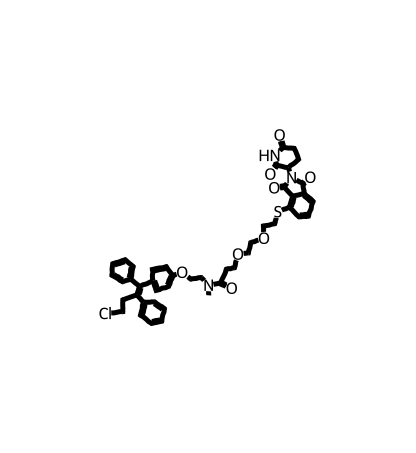 CN(CCOc1ccc(C(=C(CCCl)c2ccccc2)c2ccccc2)cc1)C(=O)CCOCCOCCSc1cccc2c1C(=O)N(C1CCC(=O)NC1=O)C2=O